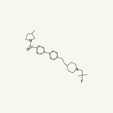 CC1CCN([S+]([O-])c2ccc(-c3ccc(CCC4CCN(CC(C)(C)F)CC4)cc3)cc2)C1